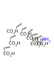 C=CC(=O)O.C=CC(=O)O.C=CC(=O)O.C=CC(=O)O.C=CC(=O)O.C=CC(=O)O.C=CC(=O)O.CCOC(N)=O